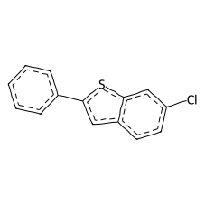 Clc1ccc2cc(-c3ccccc3)sc2c1